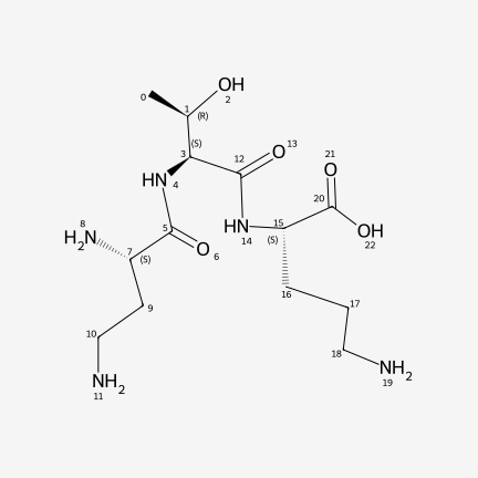 C[C@@H](O)[C@H](NC(=O)[C@@H](N)CCN)C(=O)N[C@@H](CCCN)C(=O)O